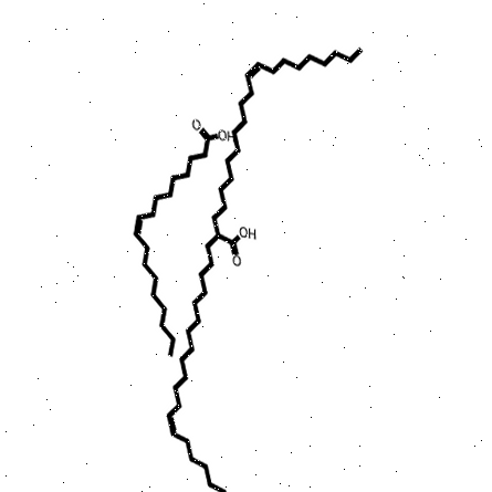 CCCCCCCC/C=C\CCCCCCCC(=O)O.CCCCCCCC/C=C\CCCCCCCCCCCCC(CCCCCCCCCC/C=C\CCCCCCCC)C(=O)O